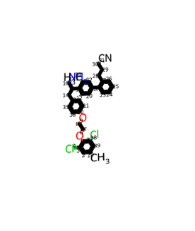 Cc1cc(Cl)c(OCCOc2ccc(CC(CN)c3ccc(-c4ccccc4CCCC#N)cc3C)cc2)c(Cl)c1